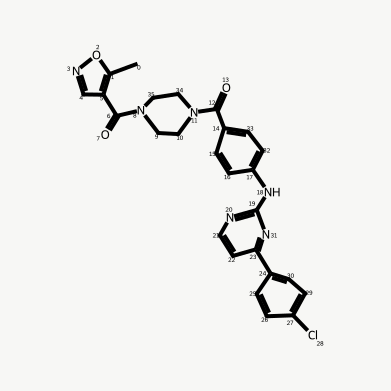 Cc1oncc1C(=O)N1CCN(C(=O)c2ccc(Nc3nccc(-c4ccc(Cl)cc4)n3)cc2)CC1